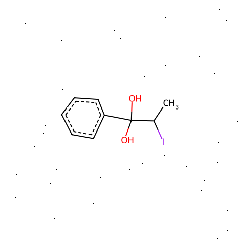 CC(I)C(O)(O)c1ccccc1